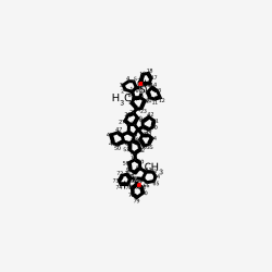 CC12CCCCC1(C)[Si](c1ccccc1)(c1ccccc1)c1ccc(-c3ccc4c(c3)C(c3ccccc3)(c3ccccc3)c3c-4c4ccccc4c4cc(-c5ccc6c(c5)C5(C)CCCCC5(C)[Si]6(c5ccccc5)c5ccccc5)ccc34)cc12